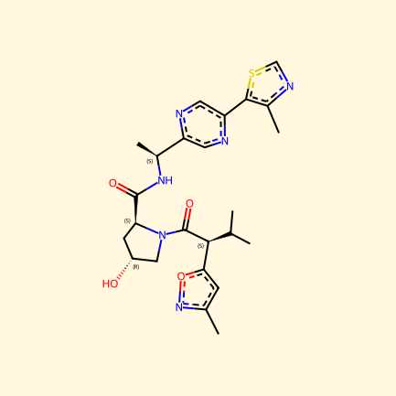 Cc1cc([C@@H](C(=O)N2C[C@H](O)C[C@H]2C(=O)N[C@@H](C)c2cnc(-c3scnc3C)cn2)C(C)C)on1